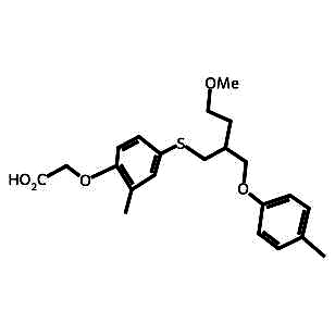 COCCC(COc1ccc(C)cc1)CSc1ccc(OCC(=O)O)c(C)c1